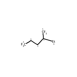 [CH2]CC(CCC(F)(F)F)C(F)(F)F